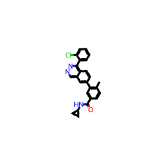 Cc1ccc(C(=O)NC2CC2)cc1-c1ccc2c(-c3ccccc3Cl)nncc2c1